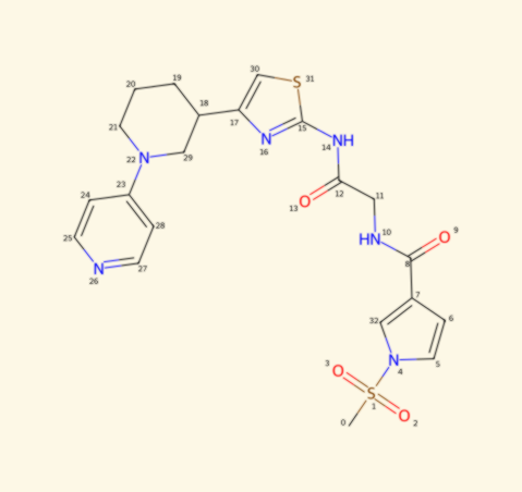 CS(=O)(=O)n1ccc(C(=O)NCC(=O)Nc2nc(C3CCCN(c4ccncc4)C3)cs2)c1